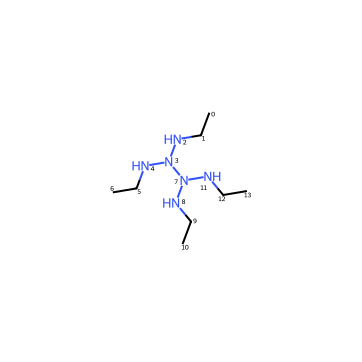 CCNN(NCC)N(NCC)NCC